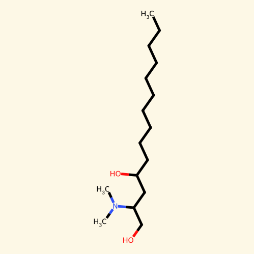 CCCCCCCCCCC(O)CC(CO)N(C)C